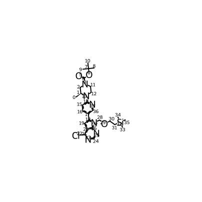 C[C@H]1CN(C(=O)OC(C)(C)C)CCN1c1ccc(-c2cc3c(Cl)ncnc3n2COCC[Si](C)(C)C)cn1